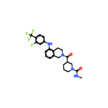 CNC(=O)N1CCCC(C(=O)N2CCc3c(cccc3Nc3ccc(C(F)(F)F)c(F)c3)C2)C1